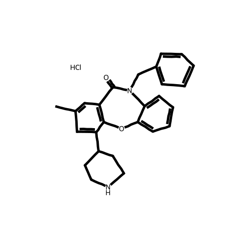 Cc1cc2c(c(C3CCNCC3)c1)Oc1ccccc1N(Cc1ccccc1)C2=O.Cl